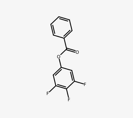 O=C(Oc1cc(F)c(F)c(F)c1)c1ccccc1